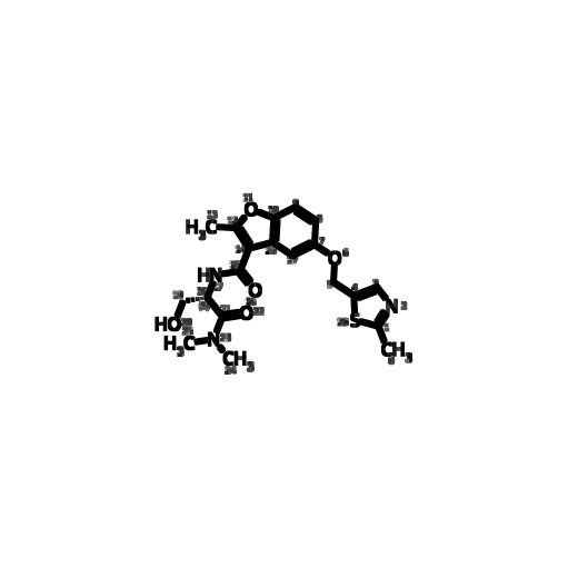 Cc1ncc(COc2ccc3oc(C)c(C(=O)N[C@@H](CO)C(=O)N(C)C)c3c2)s1